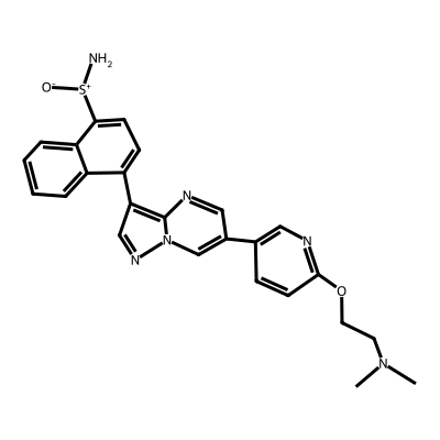 CN(C)CCOc1ccc(-c2cnc3c(-c4ccc([S+](N)[O-])c5ccccc45)cnn3c2)cn1